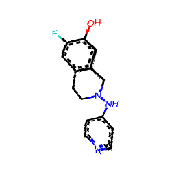 Oc1cc2c(cc1F)CCN(Nc1ccncc1)C2